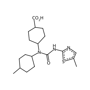 Cc1cnc(NC(=O)N(C2CCC(C)CC2)C2CCC(C(=O)O)CC2)s1